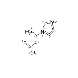 CC(=O)OC(C)n1ccnc1